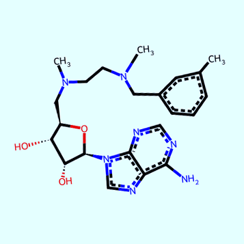 Cc1cccc(CN(C)CCN(C)C[C@H]2O[C@@H](n3cnc4c(N)ncnc43)[C@H](O)[C@@H]2O)c1